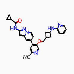 N#Cc1cc(-c2ccn3nc(NC(=O)C4CC4)cc3c2)c(OCC2CC(Nc3ccccn3)C2)cn1